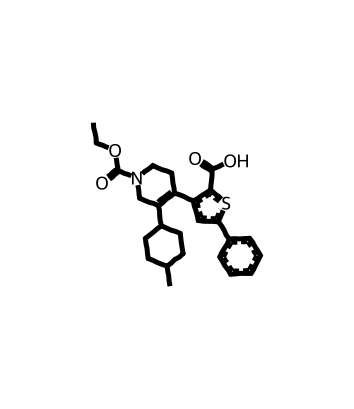 CCOC(=O)N1CCC(c2cc(-c3ccccc3)sc2C(=O)O)=C(C2CCC(C)CC2)C1